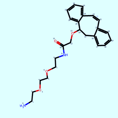 NCCOCCOCCNC(=O)COC1Cc2ccccc2/C=C\c2ccccc21